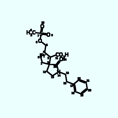 CC(C)CC1(C(CCOS(C)(=O)=O)C(=O)O)CCN(CCc2ccccc2)C1=O